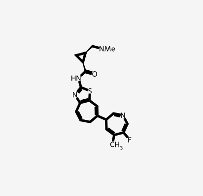 CNC[C@@H]1C[C@@H]1C(=O)Nc1nc2c(s1)C=C(C1C=NC=C(F)C(C)=C1)CC=C2